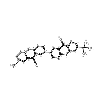 Cc1ccc2oc3ccc(-c4ccc5oc6cc(C(C)(C(F)(F)F)C(F)(F)F)ccc6c(=O)c5c4)cc3c(=O)c2c1